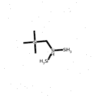 C[Si](C)(C)C[SiH]([SiH3])[SiH3]